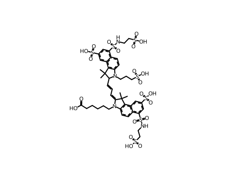 CC1(C)/C(=C\C=C\C2N(CCCS(=O)(=O)O)c3ccc4c(S(=O)(=O)NCCS(=O)(=O)O)cc(S(=O)(=O)O)cc4c3C2(C)C)N(CCCCCC(=O)O)c2ccc3c(S(=O)(=O)NCCS(=O)(=O)O)cc(S(=O)(=O)O)cc3c21